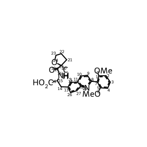 COc1cccc(OC)c1-c1ccc2cc(C[C@H](NC(=O)[C@]3(C)CCCO3)C(=O)O)ccc2n1